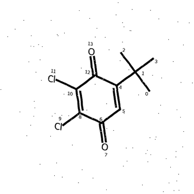 CC(C)(C)C1=CC(=O)C(Cl)=C(Cl)C1=O